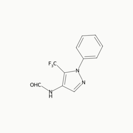 O=CNc1cnn(-c2ccccc2)c1C(F)(F)F